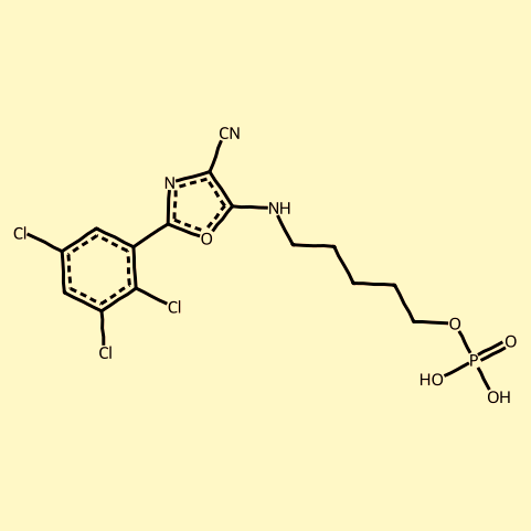 N#Cc1nc(-c2cc(Cl)cc(Cl)c2Cl)oc1NCCCCCOP(=O)(O)O